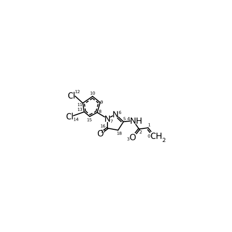 C=CC(=O)NC1=NN(c2ccc(Cl)c(Cl)c2)C(=O)C1